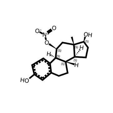 C[C@]12C[C@H](O[N+](=O)[O-])[C@@H]3c4ccc(O)cc4CC[C@H]3[C@@H]1CC[C@@H]2O